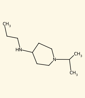 CCCNC1CCN(C(C)C)CC1